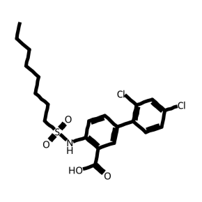 CCCCCCCCS(=O)(=O)Nc1ccc(-c2ccc(Cl)cc2Cl)cc1C(=O)O